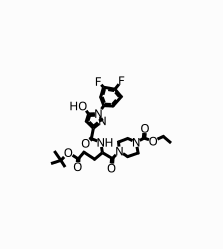 CCOC(=O)N1CCN(C(=O)C(CCC(=O)OC(C)(C)C)NC(=O)c2cc(O)n(-c3ccc(F)c(F)c3)n2)CC1